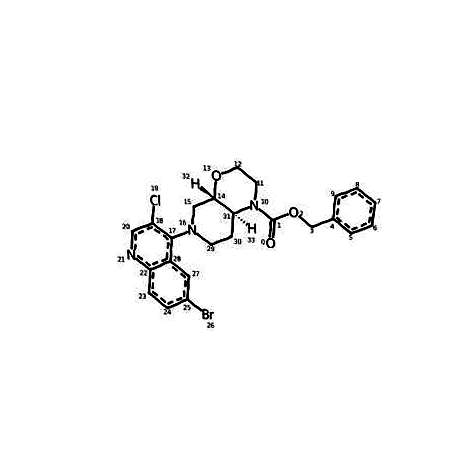 O=C(OCc1ccccc1)N1CCO[C@H]2CN(c3c(Cl)cnc4ccc(Br)cc34)CC[C@@H]21